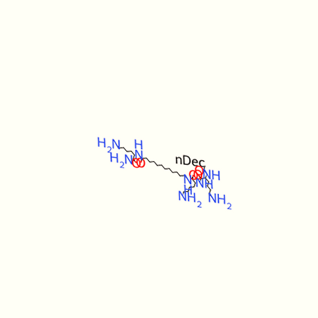 CCCCCCCCCCCC(=O)NC(CCCCN)C(=O)NC(CCCCN)C(=O)NCCCCCCCCCCCC(=O)NC(CCCCN)C(N)=O